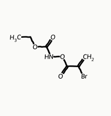 C=C(Br)C(=O)ONC(=O)OCC